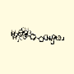 CC(C)(C)OC(=O)N1CCC2(CCC(c3ccc(B4OC(C)(C)C(C)(C)O4)cc3)C2)C1